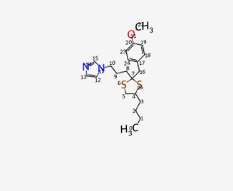 CCCCC1CSC(CCCn2ccnc2)(Cc2ccc(OC)cc2)S1